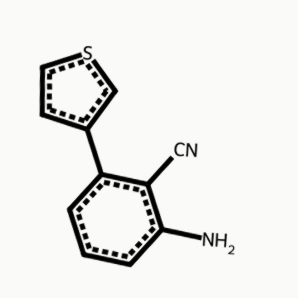 N#Cc1c(N)cccc1-c1ccsc1